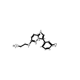 [CH2]CCOc1ccc2ncc(-c3cccc(Cl)c3)n2n1